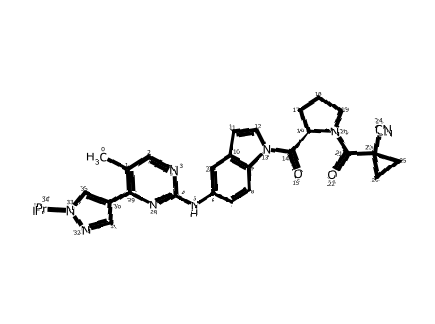 Cc1cnc(Nc2ccc3c(ccn3C(=O)[C@H]3CCCN3C(=O)C3(C#N)CC3)c2)nc1-c1cnn(C(C)C)c1